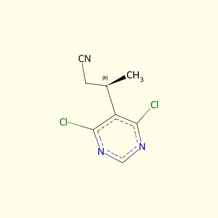 C[C@H](CC#N)c1c(Cl)ncnc1Cl